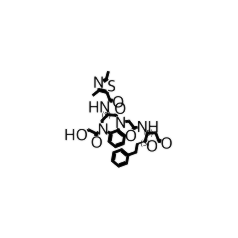 Cc1nc(C)c(C(=O)N[C@H]2CN(C(=O)CO)c3ccccc3N(CC(=O)N[C@H]3CC(=O)O[C@H]3CCc3ccccc3)C2=O)s1